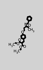 CCOC(=O)C(=Cc1ccc(OCCc2nc(-c3ccccc3)oc2C)cc1)C(=O)OCC